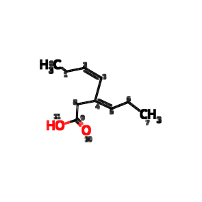 CC/C=C\C(=C/CC)CC(=O)O